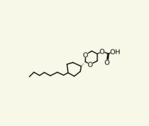 CCCCCCCC1CCC([C@H]2OC[C@H](OC(=O)O)CO2)CC1